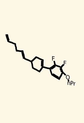 C=CCC/C=C/C1CC=C(c2ccc(OCCC)c(F)c2F)CC1